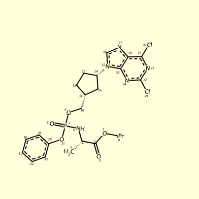 CC(C)OC(=O)[C@H](C)NP(=O)(OC[C@@H]1CC[C@H](n2cnc3c(Cl)nc(Cl)nc32)C1)Oc1ccccc1